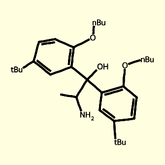 CCCCOc1ccc(C(C)(C)C)cc1C(O)(c1cc(C(C)(C)C)ccc1OCCCC)C(C)N